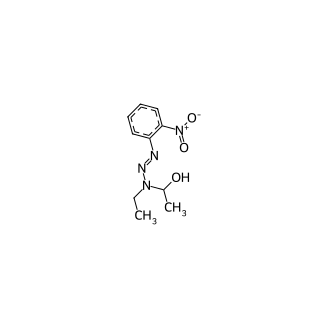 CCN(/N=N/c1ccccc1[N+](=O)[O-])C(C)O